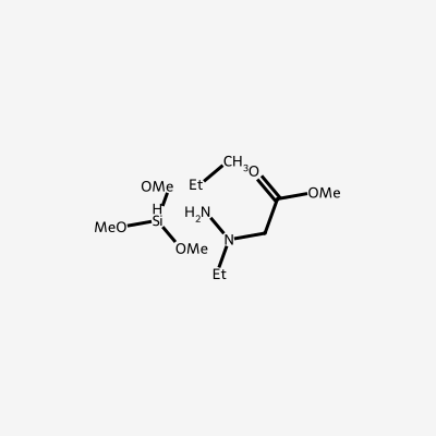 CCC.CCN(N)CC(=O)OC.CO[SiH](OC)OC